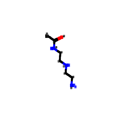 CCC(=O)NCCNCCN